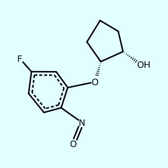 O=Nc1ccc(F)cc1O[C@@H]1CCC[C@@H]1O